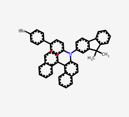 CC(C)(C)c1ccc(-c2ccc(N(c3ccc4c(c3)C(C)(C)c3ccccc3-4)c3ccc4ccccc4c3-c3cccc4ccccc34)cc2)cc1